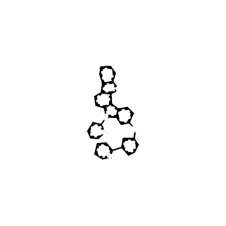 c1ccc(-c2cccc(Oc3ccc4c5c6sc7ccccc7c6ccc5n(-c5ccccn5)c4c3)c2)nc1